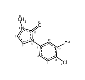 Cn1ccn(-c2ccc(Cl)c(F)c2)c1=O